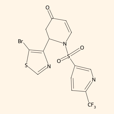 O=C1C=CN(S(=O)(=O)c2ccc(C(F)(F)F)nc2)C(c2ncsc2Br)C1